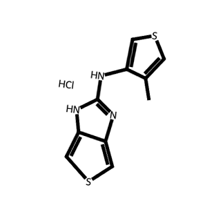 Cc1cscc1Nc1nc2cscc2[nH]1.Cl